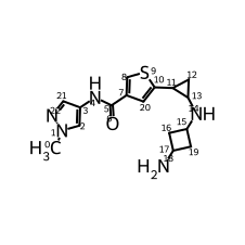 Cn1cc(NC(=O)c2csc(C3CC3NC3CC(N)C3)c2)cn1